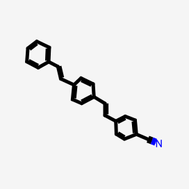 N#Cc1ccc(C=Cc2ccc(C=Cc3ccccc3)cc2)cc1